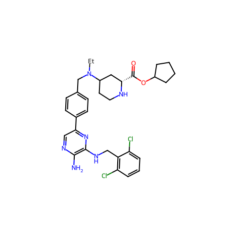 CCN(Cc1ccc(-c2cnc(N)c(NCc3c(Cl)cccc3Cl)n2)cc1)C1CCN[C@@H](C(=O)OC2CCCC2)C1